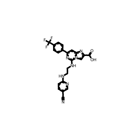 N#Cc1ccc(NCCNc2nc(-c3ccc(C(F)(F)F)cc3)cc3nc(C(=O)O)cn23)nc1